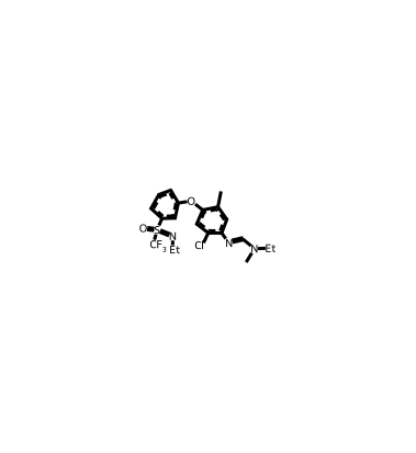 CCN=S(=O)(c1cccc(Oc2cc(Cl)c(N=CN(C)CC)cc2C)c1)C(F)(F)F